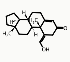 C[C@@]12CCC[C@H]1[C@@H]1CCC3=CC(=O)C/C(=C\O)[C@]3(C)[C@H]1CC2